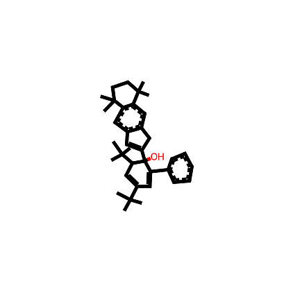 CC(C)(C)C1=CC(C(C)(C)C)C(O)(C2=Cc3cc4c(cc3C2)C(C)(C)CCC4(C)C)C(c2ccccc2)=C1